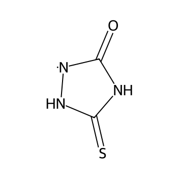 O=C1[N]NC(=S)N1